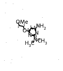 COCCOc1cc(N)nc(N(C)C)n1